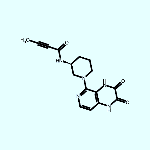 CC#CC(=O)N[C@H]1CCCN(c2nccc3[nH]c(=O)c(=O)[nH]c23)C1